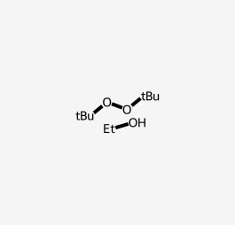 CC(C)(C)OOC(C)(C)C.CCO